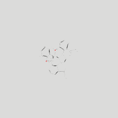 CCC(CC)c1cccc(C(CC)CC)c1-n1ccn(-c2c(C(CC)CC)cccc2C(CC)CC)[c]1=[Pd-3]([Cl])([Cl])[c]1cccnc1C